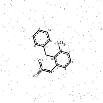 O=[N+]([O-])c1cccc(N=S(=O)=O)c1Cc1ccccc1